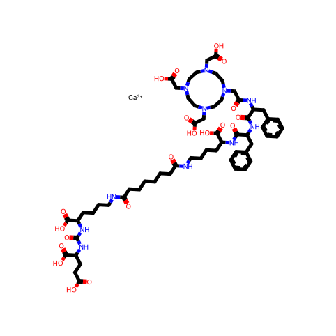 O=C(O)CCC(NC(=O)NC(CCCCNC(=O)CCCCCCC(=O)NCCCCC(NC(=O)C(Cc1ccccc1)NC(=O)C(Cc1ccccc1)NC(=O)CN1CCN(CC(=O)O)CCN(CC(=O)O)CCN(CC(=O)O)CC1)C(=O)O)C(=O)O)C(=O)O.[Ga+3]